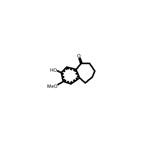 COc1cc2c(cc1O)C(=O)CCCC2